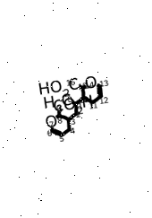 CC(CC1CC=COC1C(=O)O)C1CC=COC1C(=O)O